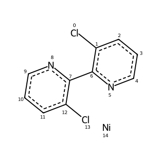 Clc1cccnc1-c1ncccc1Cl.[Ni]